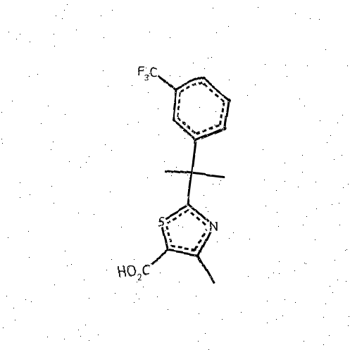 Cc1nc(C(C)(C)c2cccc(C(F)(F)F)c2)sc1C(=O)O